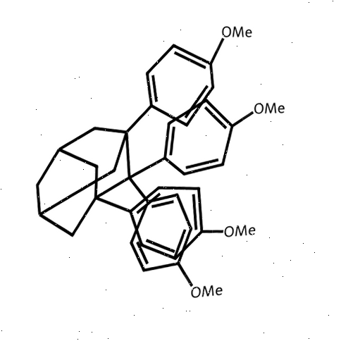 COc1ccc(C23CC4CC(C2)CC(c2ccc(OC)cc2)(C4)C3(c2ccc(OC)cc2)c2ccc(OC)cc2)cc1